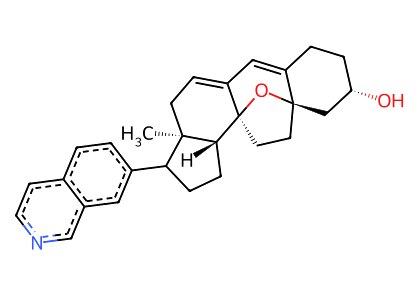 C[C@]12CC=C3C=C4CC[C@H](O)C[C@]45CC[C@]3(O5)[C@@H]1CCC2c1ccc2ccncc2c1